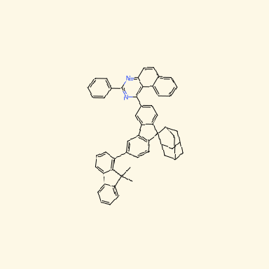 CC1(C)c2ccccc2-c2cccc(-c3ccc4c(c3)-c3cc(-c5nc(-c6ccccc6)nc6ccc7ccccc7c56)ccc3C43C4CC5CC(C4)CC3C5)c21